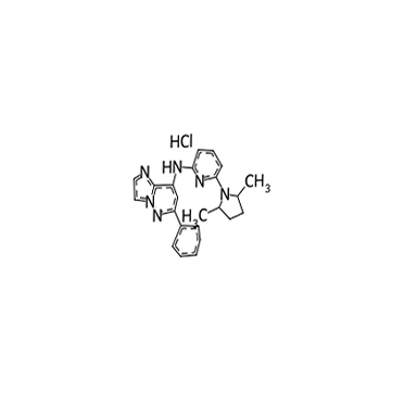 CC1CCC(C)N1c1cccc(Nc2cc(-c3ccccc3)nn3ccnc23)n1.Cl